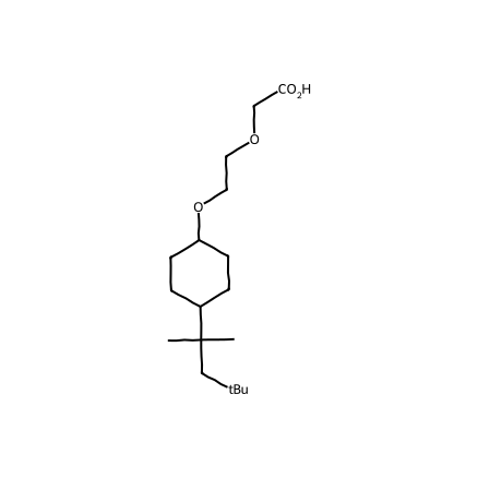 CC(C)(C)CC(C)(C)C1CCC(OCCOCC(=O)O)CC1